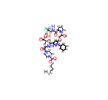 CCCCOC(=O)N1CCN(C(=O)[C@H](CCC(=O)O)NC(=O)c2cc(OCC(=O)N3CCC[C@H]3C(=O)NCC(F)(F)F)n(-c3ccccc3)n2)CC1